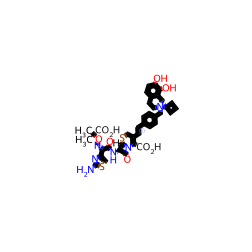 CC(C)(O/N=C(\C(=O)N[C@@H]1C(=O)N2C(C(=O)O)=C(/C=C/c3ccc(C[N+]4(C5CCC5)CCc5ccc(O)c(O)c5C4)cc3)CS[C@H]12)c1csc(N)n1)C(=O)O